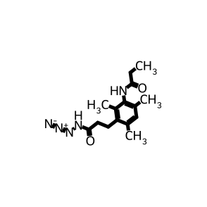 CCC(=O)Nc1c(C)cc(C)c(CCC(=O)NN=[N+]=[N-])c1C